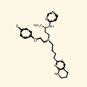 O=C(O)C(CCN(CCCCc1ccc2c(n1)NCCC2)CCOc1ccc(F)cc1)Nc1ccncn1